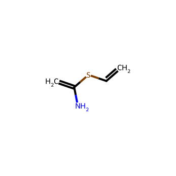 C=CSC(=C)N